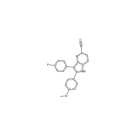 [C-]#[N+]c1ccc2[nH]c(-c3ccc(OC)cc3)c(-c3ccc(F)cc3)c2n1